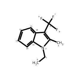 CCn1c(C)c(C(F)(F)F)c2ccccc21